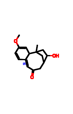 COC1=CC2/C(=C\C(=O)CC3CC2(C)CC3O)C=C1